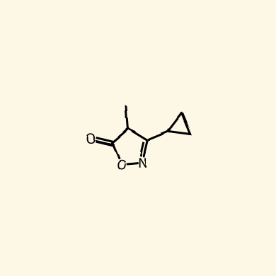 CC1C(=O)ON=C1C1CC1